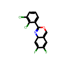 FC1=CC2=COC(c3cccc(Cl)c3Cl)=NC2C=C1F